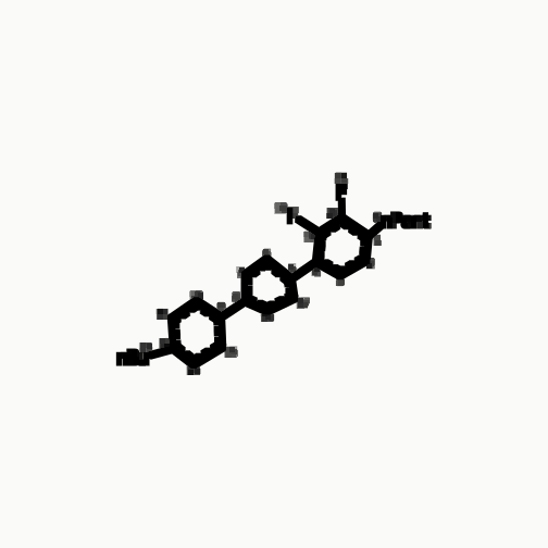 CCCCCc1ccc(-c2ccc(-c3ccc(CCCC)cc3)cc2)c(F)c1F